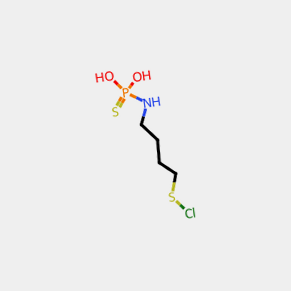 OP(O)(=S)NCCCCSCl